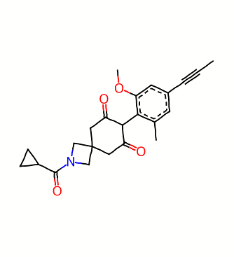 CC#Cc1cc(C)c(C2C(=O)CC3(CC2=O)CN(C(=O)C2CC2)C3)c(OC)c1